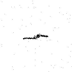 CCCCCCCCCCc1cnc(-c2ccc(OCCCCCCCCC)cc2)nc1